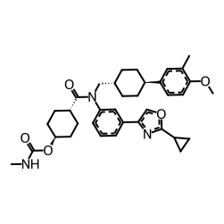 CNC(=O)O[C@H]1CC[C@H](C(=O)N(C[C@H]2CC[C@H](c3ccc(OC)c(C)c3)CC2)c2cccc(-c3coc(C4CC4)n3)c2)CC1